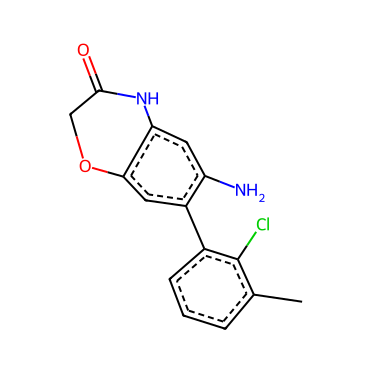 Cc1cccc(-c2cc3c(cc2N)NC(=O)CO3)c1Cl